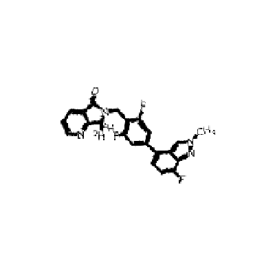 [2H]C1([2H])c2ncccc2C(=O)N1Cc1c(F)cc(-c2ccc(F)c3nn(C)cc23)cc1F